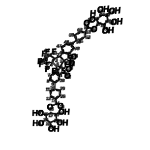 CCC12C(C3=C(C4c5ccc(-c6ccc(C(=O)O[C@H]7[C@H](O)[C@@H](O)[C@H](O)[C@@H](O)[C@@H]7O)cc6)cc5S(=O)(=O)C41CC)C(F)(F)C(F)(F)C3(F)F)c1ccc(-c3ccc(C(=O)O[C@@H]4[C@H](O)[C@@H](O)[C@H](O)[C@@H](O)[C@@H]4O)cc3)cc1S2(=O)=O